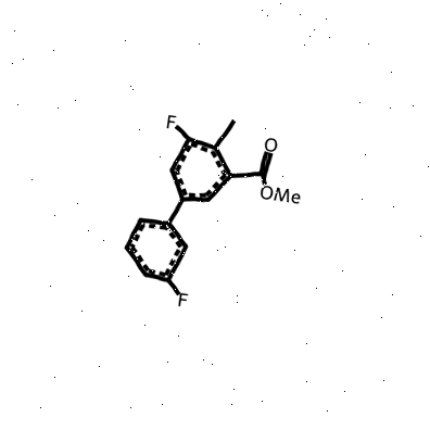 COC(=O)c1cc(-c2cccc(F)c2)cc(F)c1C